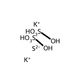 O=S(=O)(O)O.O=S(=O)(O)O.[K+].[K+].[S-2]